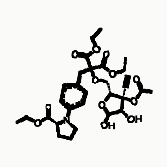 C#C[C@@]1(OC(C)=O)[C@@H](COC(Cc2ccc(N3CCC[C@H]3C(=O)OCC)cc2)(C(=O)OCC)C(=O)OCC)OC(O)[C@@H]1O